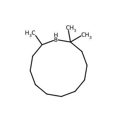 CC1BC(C)(C)CCCCCCCCC1